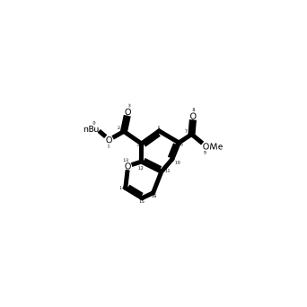 CCCCOC(=O)c1cc(C(=O)OC)cc2c1OC=CC2